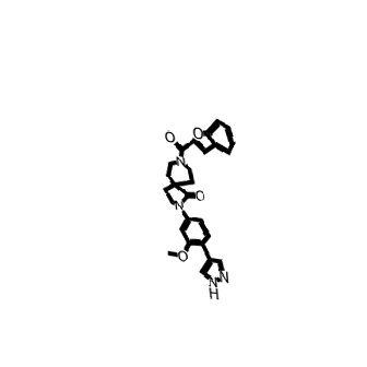 COc1cc(N2CCC3(CCN(C(=O)c4cc5ccccc5o4)CC3)C2=O)ccc1-c1cn[nH]c1